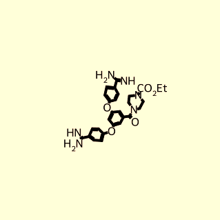 CCOC(=O)N1CCN(C(=O)c2cc(Oc3ccc(C(=N)N)cc3)cc(Oc3ccc(C(=N)N)cc3)c2)CC1